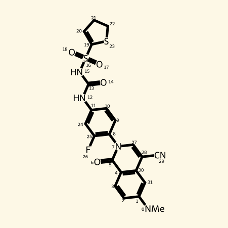 CNc1ccc2c(=O)n(-c3ccc(NC(=O)NS(=O)(=O)C4=CCCS4)cc3F)cc(C#N)c2c1